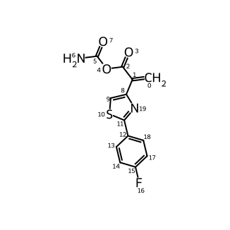 C=C(C(=O)OC(N)=O)c1csc(-c2ccc(F)cc2)n1